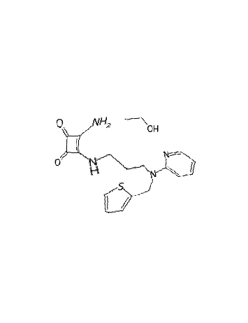 CCO.Nc1c(NCCCN(Cc2cccs2)c2ccccn2)c(=O)c1=O